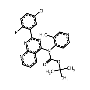 Cc1cnccc1N(C(=O)OC(C)(C)C)c1nc(-c2cc(Cl)ccc2F)nc2ncccc12